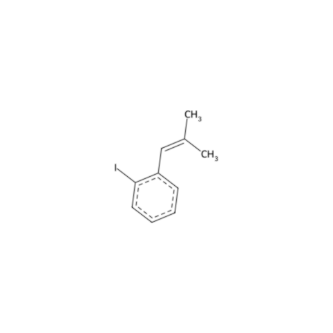 CC(C)=Cc1ccccc1I